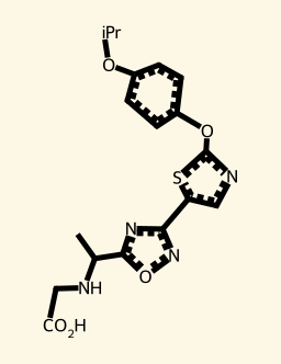 CC(C)Oc1ccc(Oc2ncc(-c3noc(C(C)NCC(=O)O)n3)s2)cc1